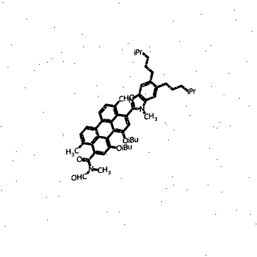 Cc1ccc2c3ccc(C=O)c4c(-c5nc6cc(CCCC(C)C)c(CCCC(C)C)cc6n5C)cc(OCC(C)C)c(c5c(OCC(C)C)cc(C(=O)N(C)C=O)c1c25)c43